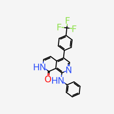 O=c1[nH]ccc2c(-c3ccc(C(F)(F)F)cc3)cnc(Nc3ccccc3)c12